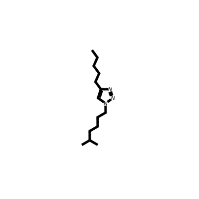 CCCCCc1cn(CCCCC(C)C)nn1